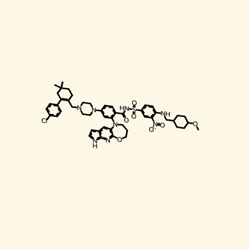 COC1CCC(CNc2ccc(S(=O)(=O)NC(=O)c3ccc(N4CCN(CC5=C(c6ccc(Cl)cc6)CC(C)(C)CC5)CC4)cc3N3CCCOc4nc5[nH]ccc5cc43)cc2[N+](=O)[O-])CC1